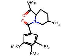 CNc1c(OC)cc(C(=O)N2CC(C)CCC2C(=O)OC)cc1[N+](=O)[O-]